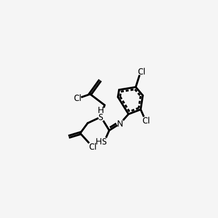 C=C(Cl)C[SH](CC(=C)Cl)C(S)=Nc1ccc(Cl)cc1Cl